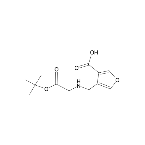 CC(C)(C)OC(=O)CNCc1cocc1C(=O)O